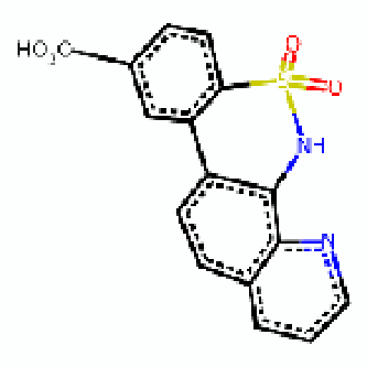 O=C(O)c1ccc2c(c1)-c1ccc3cccnc3c1NS2(=O)=O